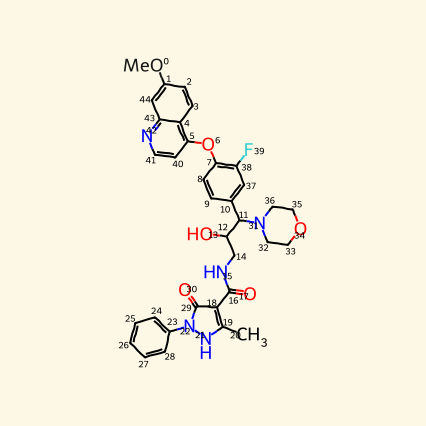 COc1ccc2c(Oc3ccc(C(C(O)CNC(=O)c4c(C)[nH]n(-c5ccccc5)c4=O)N4CCOCC4)cc3F)ccnc2c1